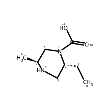 CC[C@@H]1CN[C@@H](C)CN1C(=O)O